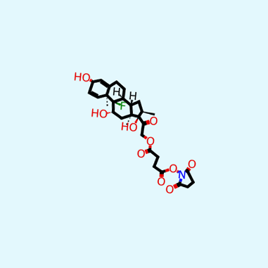 C[C@@H]1C[C@H]2[C@@H]3CCC4=CC(O)C=C[C@]4(C)[C@@]3(F)[C@@H](O)C[C@]2(C)[C@@]1(O)C(=O)COC(=O)CCC(=O)ON1C(=O)CCC1=O